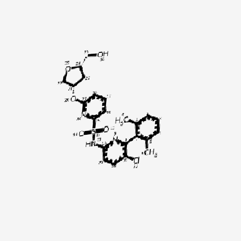 Cc1cccc(C)c1-c1nc(NS(=O)(=O)c2cccc(O[C@@H]3CO[C@H](CO)C3)n2)ccc1Cl